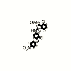 COC(=NC(=O)Nc1ccc(Oc2ccc([N+](=O)[O-])cc2)c(Cl)c1)c1ccccc1Cl